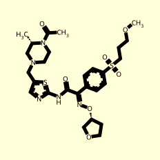 COCCCS(=O)(=O)c1ccc(/C(=N\O[C@@H]2CCOC2)C(=O)Nc2ncc(CN3CCN(C(C)=O)[C@@H](C)C3)s2)cc1